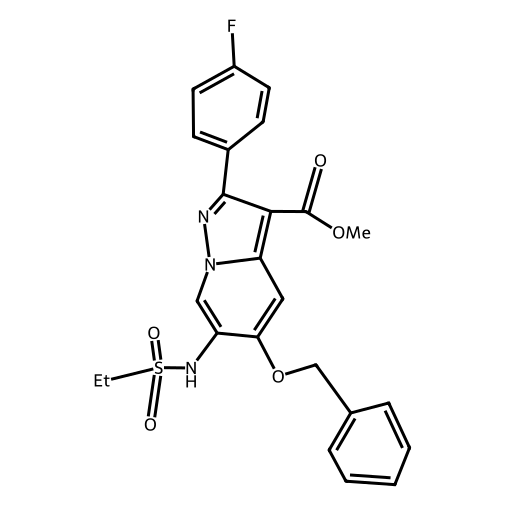 CCS(=O)(=O)Nc1cn2nc(-c3ccc(F)cc3)c(C(=O)OC)c2cc1OCc1ccccc1